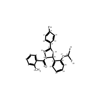 Cc1ccccc1C(=O)N1N=C(c2ccc(F)cc2)SC1c1ccccc1OC(F)F